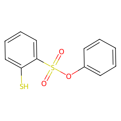 O=S(=O)(Oc1ccccc1)c1ccccc1S